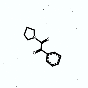 O=C(C(=S)N1CCCC1)c1ccccc1